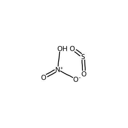 O=S=O.O=[N+]([O-])O